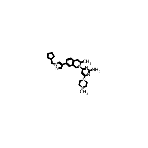 CC1Cc2ccc(-c3cnn(CC4CCCC4)c3)cc2CN1c1cc(N2CCN(C)CC2)nc(N)n1